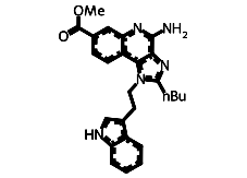 CCCCc1nc2c(N)nc3cc(C(=O)OC)ccc3c2n1CCc1c[nH]c2ccccc12